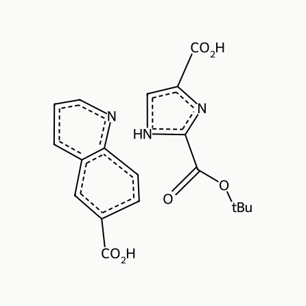 CC(C)(C)OC(=O)c1nc(C(=O)O)c[nH]1.O=C(O)c1ccc2ncccc2c1